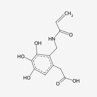 C=CC(=O)NCc1c(CC(=O)O)cc(O)c(O)c1O